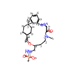 CN1CCC(CNS(C)(=O)=O)O[C@H]2CC[C@H](CC2)c2ccccc2NCC1=O